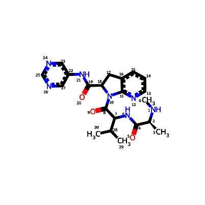 CN[C@@H](C)C(=O)NC(C(=O)N1c2ncccc2CC1C(=O)Nc1cncnc1)C(C)C